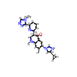 Cc1cc2c(cc1-n1cnc(C3CC3)c1)c(=O)c(-c1cccc(-c3nncn3C(C)C)n1)cn2C